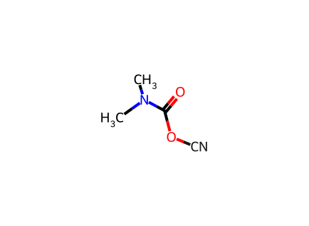 CN(C)C(=O)OC#N